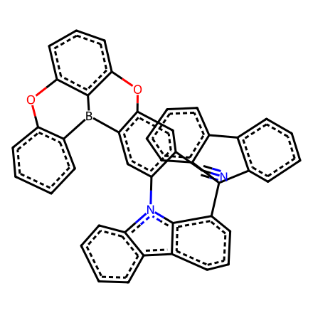 N#Cc1cc2c(cc1-n1c3ccccc3c3cccc(C4c5ccccc5-c5ccccc54)c31)B1c3ccccc3Oc3cccc(c31)O2